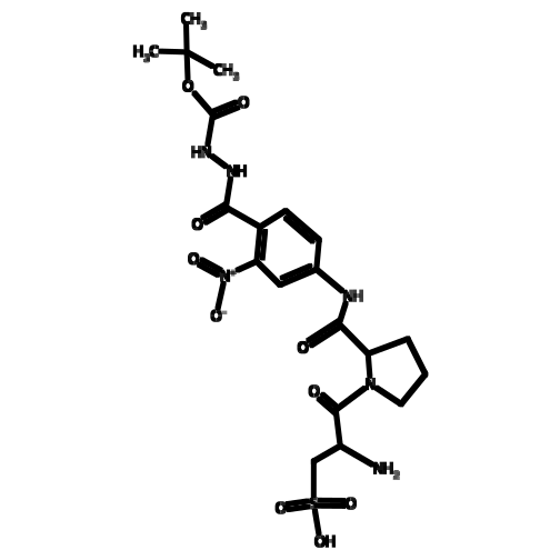 CC(C)(C)OC(=O)NNC(=O)c1ccc(NC(=O)C2CCCN2C(=O)C(N)CS(=O)(=O)O)cc1[N+](=O)[O-]